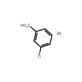 O=C(O)c1cccc(Cl)c1.[Zn]